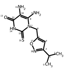 CC(C)c1cc(Cn2c(N)c(N)c(=O)[nH]c2=S)on1